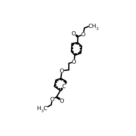 CCOC(=O)c1ccc(OCCOc2ccc(C(=O)OCC)cc2)cc1